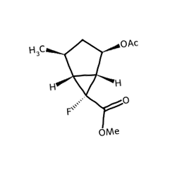 COC(=O)[C@]1(F)[C@@H]2[C@H]1[C@@H](C)C[C@H]2OC(C)=O